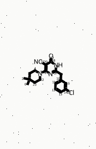 CC1(C)CCN(c2nc(Cc3cccc(Cl)c3)[nH]c(=O)c2C#N)CC1